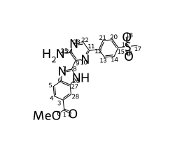 COC(=O)c1ccc2nc(-c3nc(-c4ccc(S(C)(=O)=O)cc4)cnc3N)[nH]c2c1